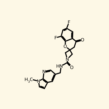 Cn1ccc2cc(CNC(=O)N3CC4(CC(=O)c5cc(F)cc(F)c5O4)C3)cnc21